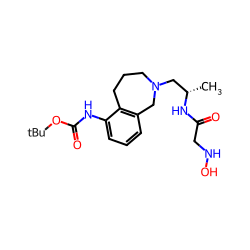 C[C@@H](CN1CCCc2c(cccc2NC(=O)OC(C)(C)C)C1)NC(=O)CNO